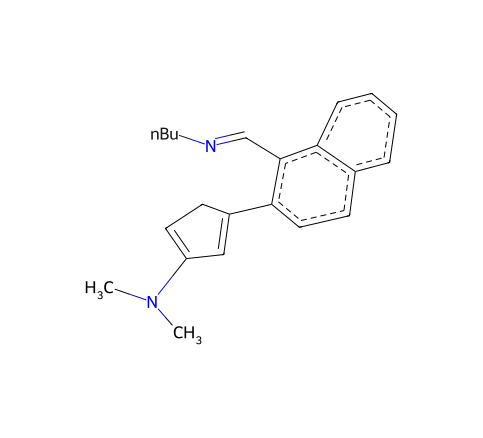 CCCCN=Cc1c(C2=CC(N(C)C)=CC2)ccc2ccccc12